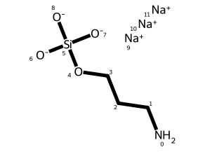 NCCCO[Si]([O-])([O-])[O-].[Na+].[Na+].[Na+]